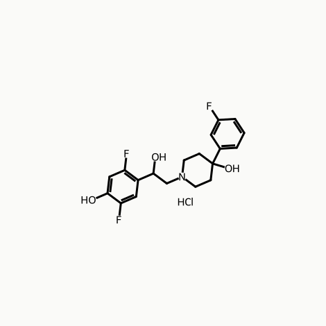 Cl.Oc1cc(F)c(C(O)CN2CCC(O)(c3cccc(F)c3)CC2)cc1F